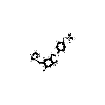 O=S(=O)(F)Oc1ccc(OCc2cc(Cn3cncn3)c(F)cc2F)cc1